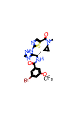 C[C@H](NC(=O)c1cc(Br)cc(OC(F)(F)F)c1)c1ncnn1-c1ncc(C(=O)N(C)C2CC2)s1